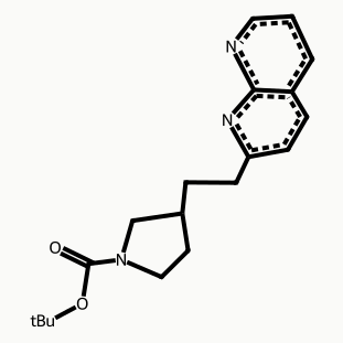 CC(C)(C)OC(=O)N1CCC(CCc2ccc3cccnc3n2)C1